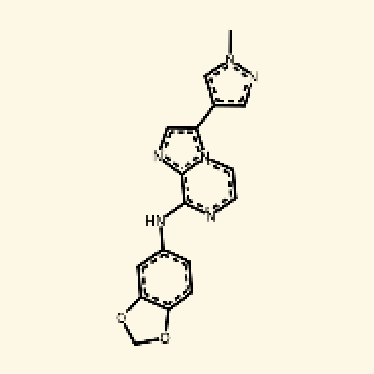 Cn1cc(-c2cnc3c(Nc4ccc5c(c4)OCO5)nccn23)cn1